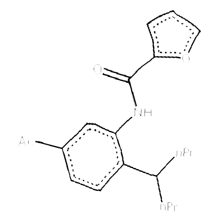 CCCC(CCC)c1ccc(C(C)=O)cc1NC(=O)c1ccco1